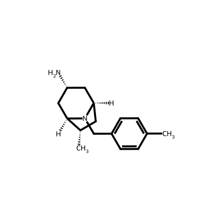 Cc1ccc(CN2[C@H]3C[C@@H](N)C[C@@H]2[C@@H](C)C3)cc1